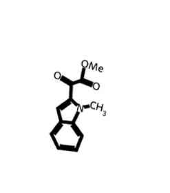 COC(=O)C(=O)c1cc2ccccc2n1C